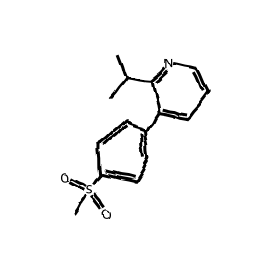 CC(C)c1ncccc1-c1ccc(S(C)(=O)=O)cc1